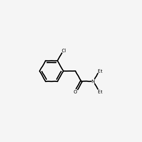 CCN(CC)C(=O)Cc1ccccc1Cl